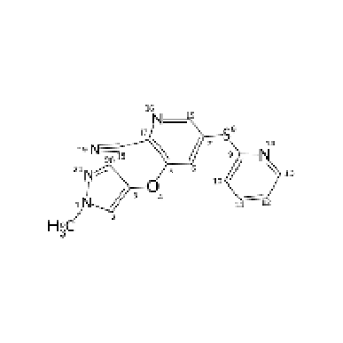 Cn1cc(Oc2cc(Sc3ccccn3)cnc2C#N)cn1